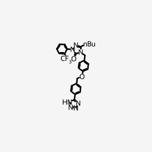 CCCCc1nn(-c2ccccc2C(F)(F)F)c(=O)n1Cc1ccc(OCc2ccc(-c3nnn[nH]3)cc2)cc1